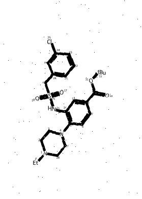 CCN1CCN(c2ccc(C(=O)OC(C)(C)C)cc2NS(=O)(=O)Cc2cccc(Cl)c2)CC1